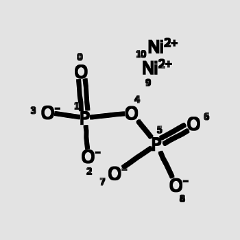 O=P([O-])([O-])OP(=O)([O-])[O-].[Ni+2].[Ni+2]